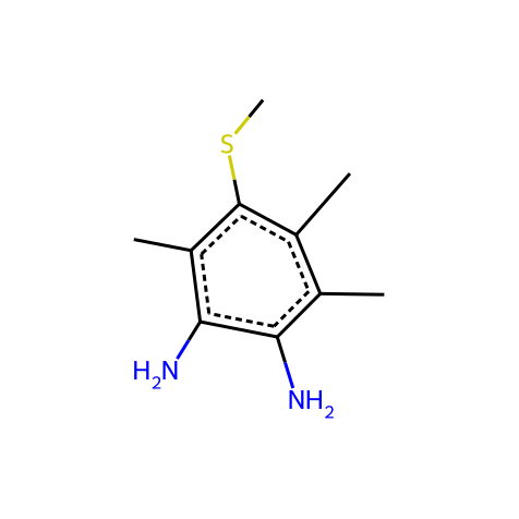 CSc1c(C)c(C)c(N)c(N)c1C